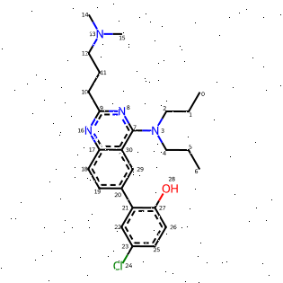 CCCN(CCC)c1nc(CCCN(C)C)nc2ccc(-c3cc(Cl)ccc3O)cc12